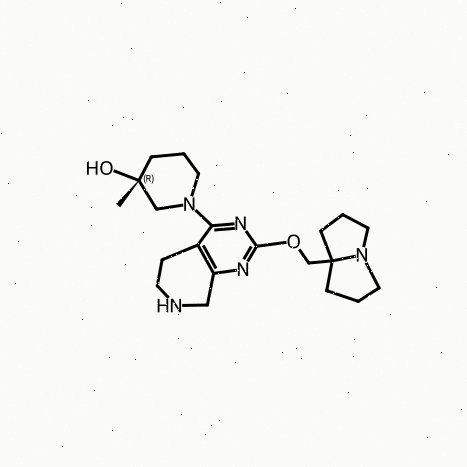 C[C@@]1(O)CCCN(c2nc(OCC34CCCN3CCC4)nc3c2CCNC3)C1